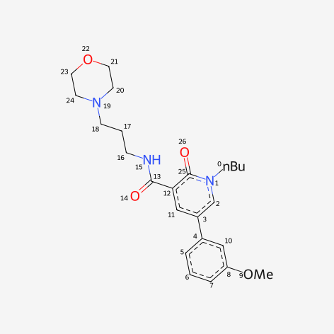 CCCCn1cc(-c2cccc(OC)c2)cc(C(=O)NCCCN2CCOCC2)c1=O